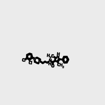 CC1=C(c2ccccc2)NC(C)C1C(=O)NCCCN1CCN(c2cccc(Cl)c2Cl)CC1